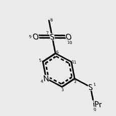 CC(C)Sc1cncc(S(C)(=O)=O)c1